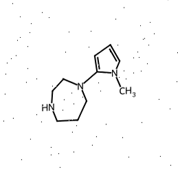 Cn1cccc1N1CCCNCC1